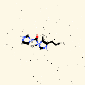 CCCC1=C(C)[N+](C)(C(=O)n2ccnc2)C=N1